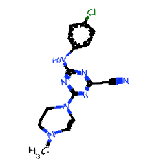 CN1CCN(c2nc(C#N)nc(Nc3ccc(Cl)cc3)n2)CC1